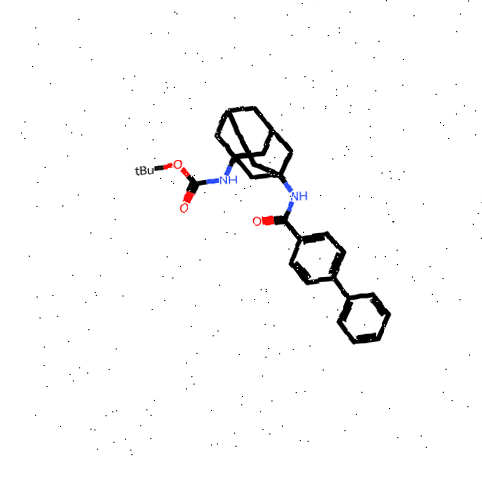 CC(C)(C)OC(=O)NC12CC3CC(C1)CC(NC(=O)c1ccc(-c4ccccc4)cc1)(C3)C2